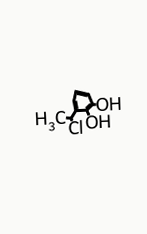 CC(Cl)c1cccc(O)c1O